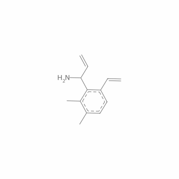 C=Cc1ccc(C)c(C)c1C(N)C=C